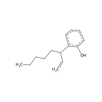 C=CC(CCCCC)c1ccccc1O